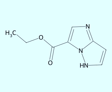 CCOC(=O)c1cnc2cc[nH]n12